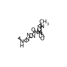 Cc1cn2cc(NC(=O)c3cnc(N4CC[C@@H](NC5CC5)C4)cn3)c(N3CCOCC3)cc2n1